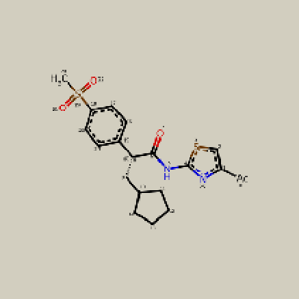 CC(=O)c1csc(NC(=O)[C@H](CC2CCCC2)c2ccc(S(C)(=O)=O)cc2)n1